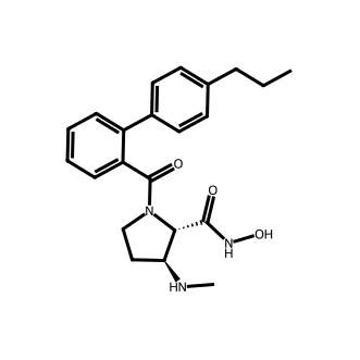 CCCc1ccc(-c2ccccc2C(=O)N2CC[C@H](NC)[C@H]2C(=O)NO)cc1